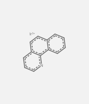 [Ir+3].c1ccc2c(c1)ccc1cccnc12